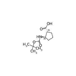 CC(C)(C)OC(=O)N[C@@H]1CCC[C@H]1C(=O)O